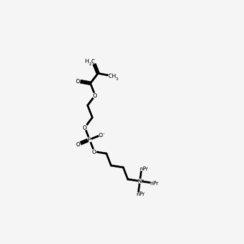 C=C(C)C(=O)OCCOP(=O)([O-])OCCCC[N+](CCC)(CCC)CCC